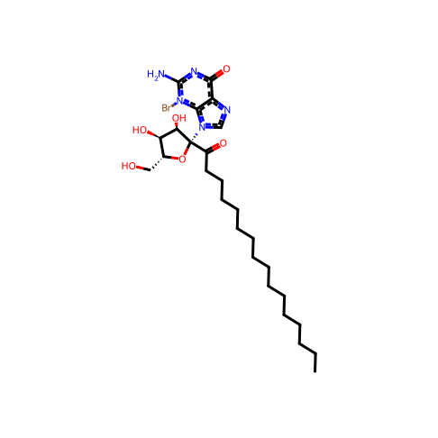 CCCCCCCCCCCCCCCC(=O)[C@@]1(n2cnc3c(=O)nc(N)n(Br)c32)O[C@H](CO)[C@@H](O)[C@H]1O